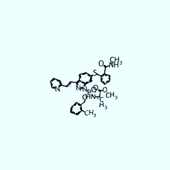 CNC(=O)c1ccccc1Sc1ccc2c(/C=C/c3ccccn3)nn(P(=O)(N[C@@H](C)C(=O)OC)OCc3ccccc3C)c2c1